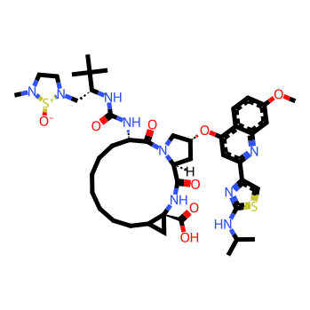 COc1ccc2c(O[C@@H]3C[C@H]4C(=O)N[C@]5(C(=O)O)CC5CCCCCCC[C@H](NC(=O)N[C@H](CN5CCN(C)[S+]5[O-])C(C)(C)C)C(=O)N4C3)cc(-c3csc(NC(C)C)n3)nc2c1